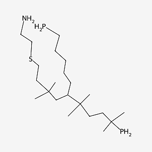 CC(C)(P)CCC(C)(C)C(CCCCCP)CC(C)(C)CCSCCN